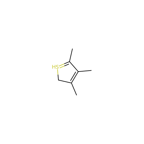 CC1=[SH]CC(C)=C1C